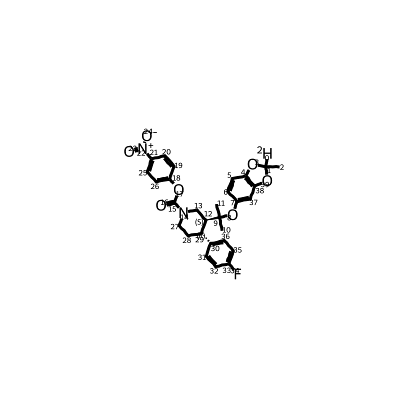 [2H]C1(C)Oc2ccc(OC(C)(C)[C@@H]3CN(C(=O)Oc4ccc([N+](=O)[O-])cc4)CC[C@H]3c3ccc(F)cc3)cc2O1